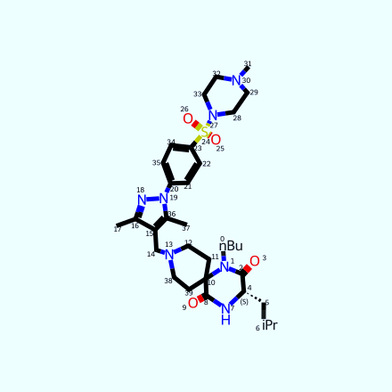 CCCCN1C(=O)[C@H](CC(C)C)NC(=O)C12CCN(Cc1c(C)nn(-c3ccc(S(=O)(=O)N4CCN(C)CC4)cc3)c1C)CC2